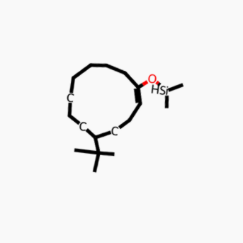 C[SiH](C)OC1=CCCC(C(C)(C)C)CCCCCCC1